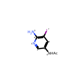 CC(=O)Nc1cnc(N)c(I)c1